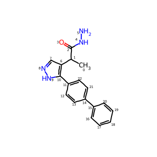 CC(C(=O)NN)c1cn[nH]c1-c1ccc(-c2ccccc2)cc1